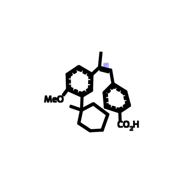 COc1ccc(/C(C)=C\c2ccc(C(=O)O)cc2)cc1C1(C)CCCCC1